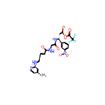 Cc1ccnc(NCCCC(=O)NCC(=O)N[C@H](CC(=O)OC(=O)C(F)(F)F)c2cccc([N+](=O)[O-])c2)c1